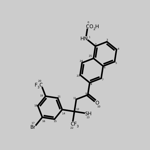 O=C(O)Nc1cccc2cc(C(=O)CC(S)(c3cc(Br)cc(C(F)(F)F)c3)C(F)(F)F)ccc12